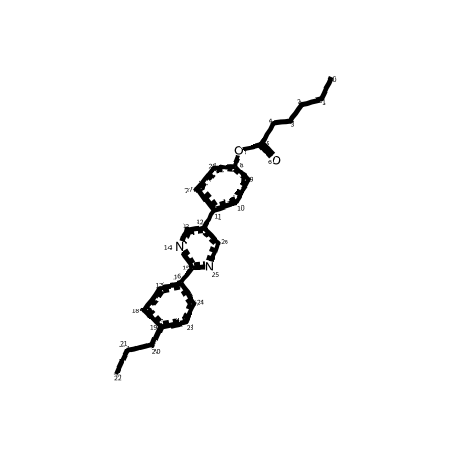 CCCCCC(=O)Oc1ccc(-c2cnc(-c3ccc(CCC)cc3)nc2)cc1